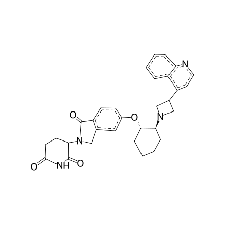 O=C1CCC(N2Cc3cc(O[C@H]4CCCC[C@@H]4N4CC(c5ccnc6ccccc56)C4)ccc3C2=O)C(=O)N1